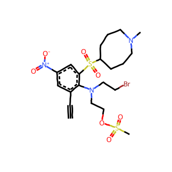 C#Cc1cc([N+](=O)[O-])cc(S(=O)(=O)C2CCCN(C)CCC2)c1N(CCBr)CCOS(C)(=O)=O